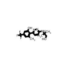 Cc1cc(C(F)(F)F)cc(O)c1-c1ccc(NC(C)(C)CO)nn1